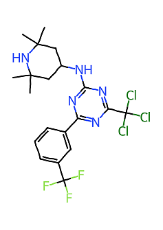 CC1(C)CC(Nc2nc(-c3cccc(C(F)(F)F)c3)nc(C(Cl)(Cl)Cl)n2)CC(C)(C)N1